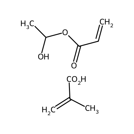 C=C(C)C(=O)O.C=CC(=O)OC(C)O